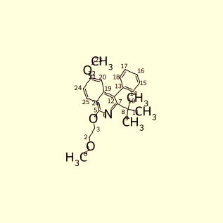 COCCOc1nc(C(C)(C)C)c(-c2ccccc2)c2cc(OC)ccc12